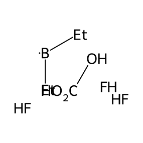 CC[B]CC.F.F.F.O=C(O)O